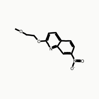 COCCOc1ccc2ccc([N+](=O)[O-])cc2n1